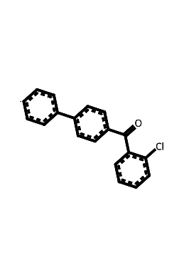 O=C(c1ccc(-c2cc[c]cc2)cc1)c1ccccc1Cl